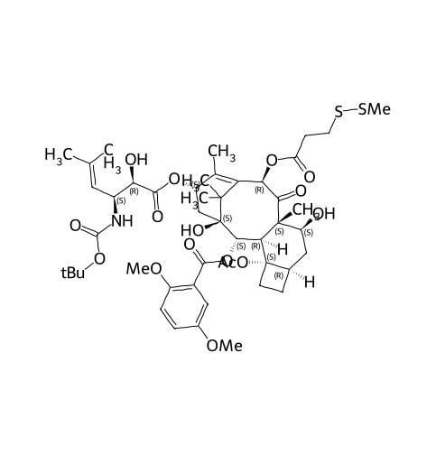 COc1ccc(OC)c(C(=O)O[C@H]2[C@@H]3[C@]4(OC(C)=O)CC[C@@H]4C[C@H](O)[C@@]3(C)C(=O)[C@H](OC(=O)CCSSC)C3=C(C)[C@@H](OC(=O)[C@H](O)[C@H](C=C(C)C)NC(=O)OC(C)(C)C)C[C@]2(O)C3(C)C)c1